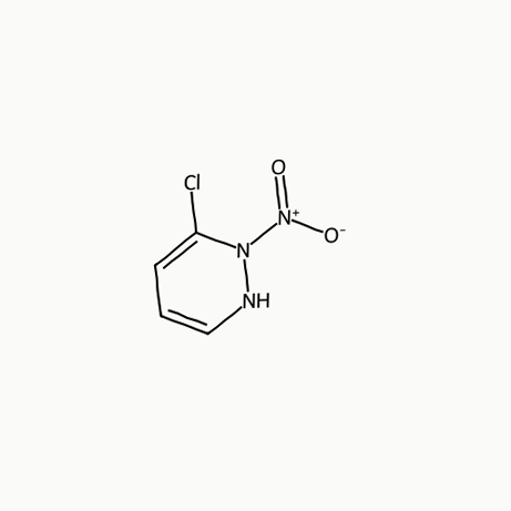 O=[N+]([O-])N1NC=CC=C1Cl